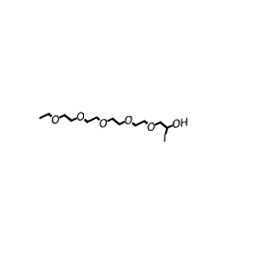 CCOCCOCCOCCOCCOCC(O)I